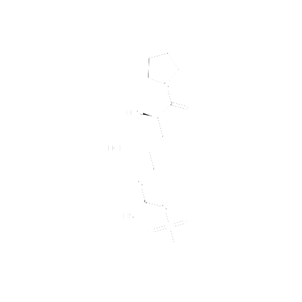 CCCS(=O)(=O)NC(=N)NCCC[C@@H](N)C(=O)N1CCCC1.Cl